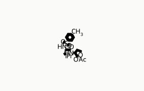 CC(=O)O[C@@H]1OCC[C@@H]1NC(=O)[C@H](CC(C)C)NS(=O)(=O)c1ccc(C)cc1